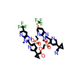 CCS(=O)(=O)c1cc(C2(C(=O)OCCS(=O)(=O)c3cc(C4(C#N)CC4)cnc3-c3nc4cc(SC(F)(F)F)cnc4n3C)CC2)cnc1-c1nc2cc(C(F)(F)F)cnc2n1C